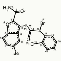 NC(=O)c1oc2ccc(Br)cc2c1NC(=O)C(Br)c1ccccc1Cl